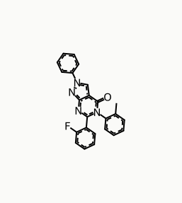 Cc1ccccc1-n1c(-c2ccccc2F)nc2nn(-c3ccccc3)cc2c1=O